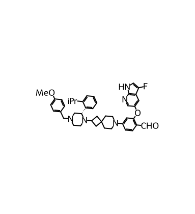 COc1ccc(CN2CCN(C3CC4(CCN(c5ccc(C=O)c(Oc6cnc7[nH]cc(F)c7c6)c5)CC4)C3)[C@@H](c3ccccc3C(C)C)C2)cc1